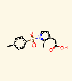 Cc1ccc(S(=O)(=O)n2ccc(CC(=O)O)c2C)cc1